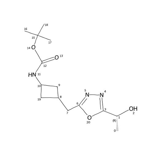 C[C@@H](O)c1nnc(CC2CC(NC(=O)OC(C)(C)C)C2)o1